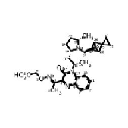 C/C(=N\OCC(=O)O)c1nc2ccccc2n([C@@H](C)C[C@@H]2CC[C@H](C)N2C=C2C3CC2C32CC2)c1=O